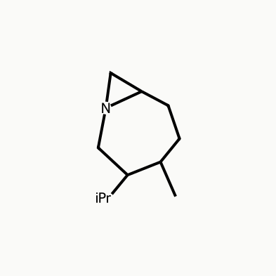 CC(C)C1CN2CC2CCC1C